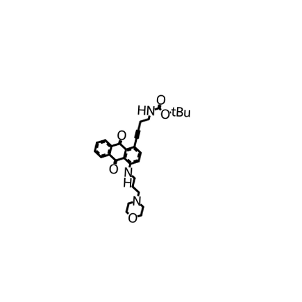 CC(C)(C)OC(=O)NCCC#Cc1ccc(NCCCN2CCOCC2)c2c1C(=O)c1ccccc1C2=O